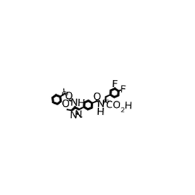 Cc1nn(C)c(-c2ccc(C(=O)N[C@H](Cc3ccc(F)c(F)c3)C(=O)O)cc2)c1NC(=O)O[C@H](C)c1ccccc1